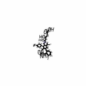 CC(C)c1nc2c(c(-c3ccc(F)cc3)c1/C=C/[C@@H](O)C[C@@H](O)CC(=O)O)CN(C(N)=O)Cc1ccccc1-2